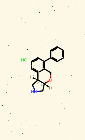 Cl.c1ccc(-c2cccc3c2CO[C@@H]2CNC[C@H]32)cc1